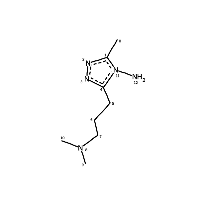 Cc1nnc(CCCN(C)C)n1N